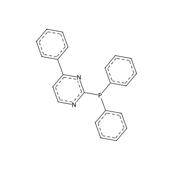 c1ccc(-c2ccnc(P(c3ccccc3)c3ccccc3)n2)cc1